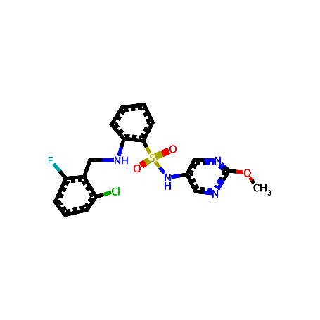 COc1ncc(NS(=O)(=O)c2ccccc2NCc2c(F)cccc2Cl)cn1